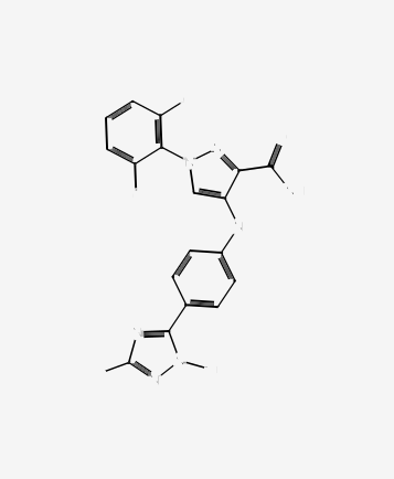 CCn1nc(C(F)(F)F)nc1-c1ccc(Nc2cn(-c3c(Cl)cccc3Cl)nc2C(N)=O)cc1